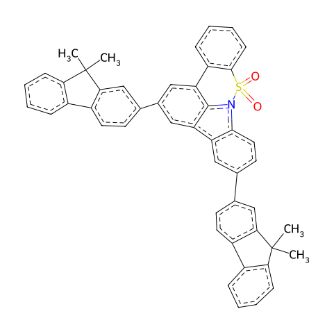 CC1(C)c2ccccc2-c2ccc(-c3ccc4c(c3)c3cc(-c5ccc6c(c5)C(C)(C)c5ccccc5-6)cc5c3n4S(=O)(=O)c3ccccc3-5)cc21